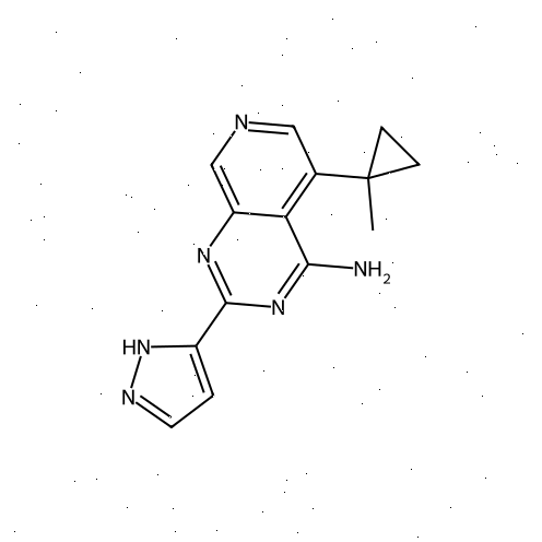 CC1(c2cncc3nc(-c4ccn[nH]4)nc(N)c23)CC1